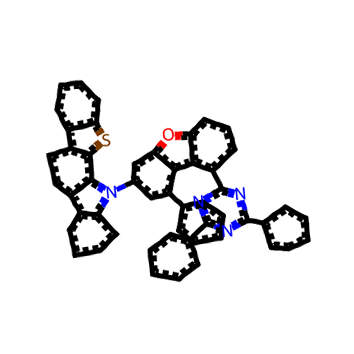 c1ccc(-c2nc(-c3ccccc3)nc(-c3cccc4oc5cc(-n6c7ccccc7c7ccc8c9ccccc9sc8c76)cc(-c6ccccc6)c5c34)n2)cc1